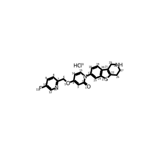 Cl.O=c1cc(OCc2ccc(F)cn2)ccn1-c1ccc2c3c(sc2c1)CCNC3